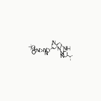 CC(C)c1cnnc(Nc2ccc3ncc(-c4cnn(C5CN(C(=O)OC(C)(C)C)C5)c4)cc3n2)c1